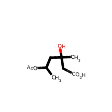 CC(=O)OC(C)CC(C)(O)CC(=O)O